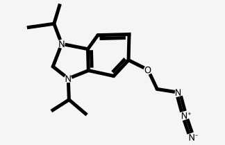 CC(C)N1CN(C(C)C)c2cc(OCN=[N+]=[N-])ccc21